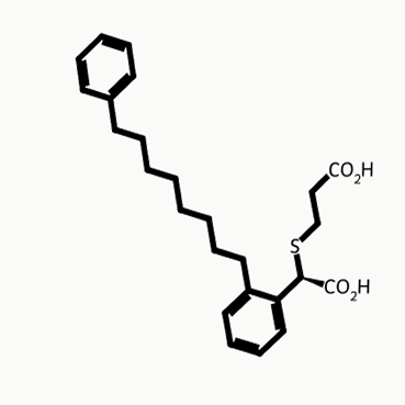 O=C(O)CCS[C@@H](C(=O)O)c1ccccc1CCCCCCCCc1ccccc1